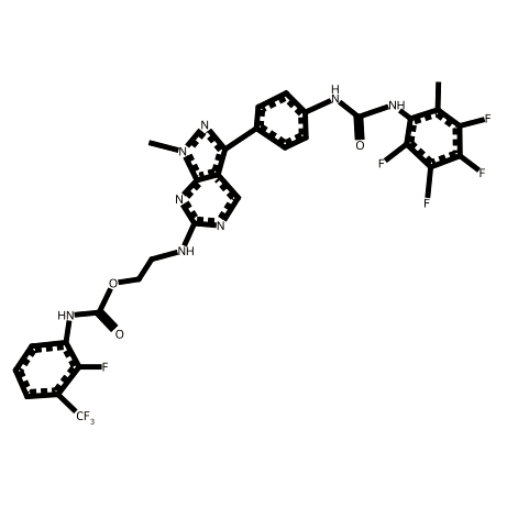 Cc1c(F)c(F)c(F)c(F)c1NC(=O)Nc1ccc(-c2nn(C)c3nc(NCCOC(=O)Nc4cccc(C(F)(F)F)c4F)ncc23)cc1